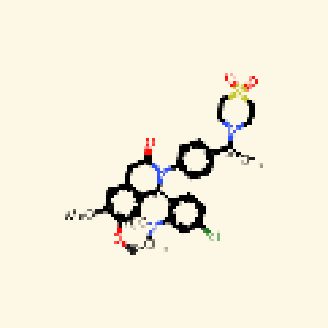 COc1cc2c(cc1OC(C)C)[C@H](c1ccc(Cl)cc1N(C)C)N(c1ccc([C@H](C)N3CCS(=O)(=O)CC3)cc1)C(=O)C2